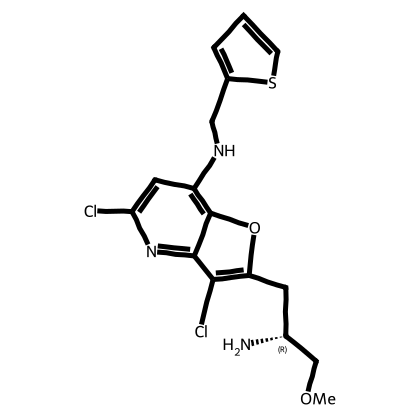 COC[C@H](N)Cc1oc2c(NCc3cccs3)cc(Cl)nc2c1Cl